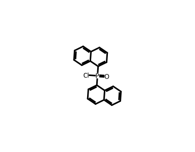 O=P(Cl)(c1cccc2ccccc12)c1cccc2ccccc12